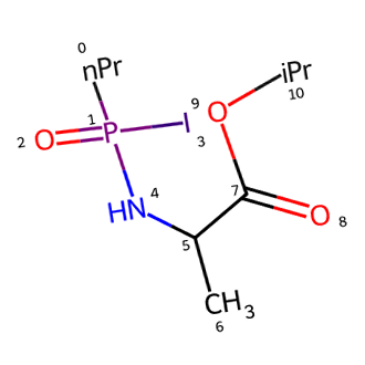 CCCP(=O)(I)NC(C)C(=O)OC(C)C